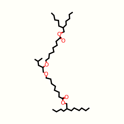 CCCCCCC(CCCC)COC(=O)CCCCCCCOCC(CC(C)C)OCCCCCCCC(=O)OCC(CCCCC)CCCCC